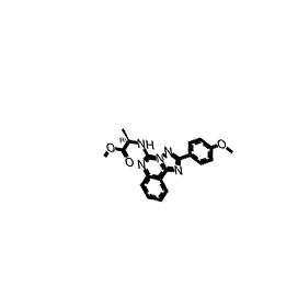 COC(=O)[C@@H](C)Nc1nc2ccccc2c2nc(-c3ccc(OC)cc3)nn12